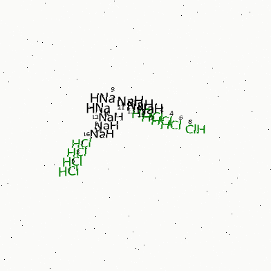 Cl.Cl.Cl.Cl.Cl.Cl.Cl.Cl.Cl.[NaH].[NaH].[NaH].[NaH].[NaH].[NaH].[NaH].[NaH]